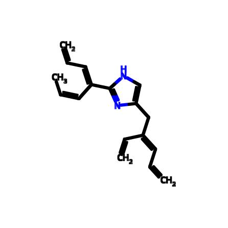 C=C/C=C(\C=C)Cc1c[nH]c(C(/C=C\C)=C/C=C)n1